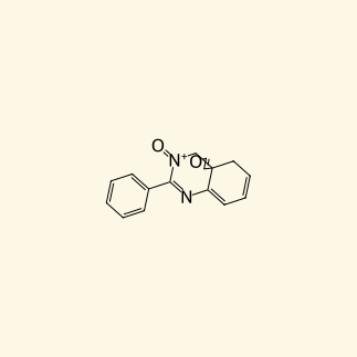 O=[N+]1C(c2ccccc2)=NC2=CC=CCC23C=COC13